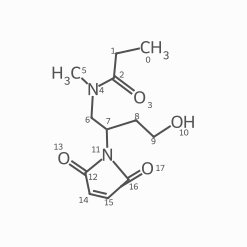 CCC(=O)N(C)CC(CCO)N1C(=O)C=CC1=O